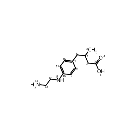 CC(CC(=O)O)Cc1ccc(NCCN)cc1